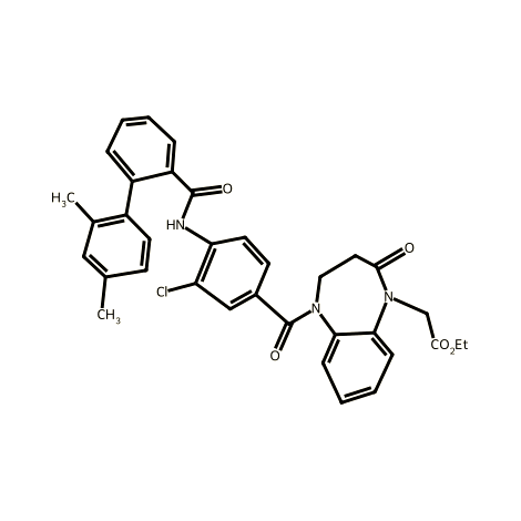 CCOC(=O)CN1C(=O)CCN(C(=O)c2ccc(NC(=O)c3ccccc3-c3ccc(C)cc3C)c(Cl)c2)c2ccccc21